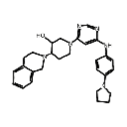 OC1CN(c2cc(Nc3ccc(N4CCCC4)cc3)ncn2)CC[C@H]1N1CCc2ccccc2C1